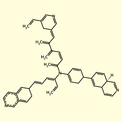 C=CC1=CN=C/C(=C/C(=C)C(=C)/C=C\C(=C)N(C2=CCC(C3=CC4C=CN=C[C@@H]4C=C3)C=C2)/C(C=C)=C/C=C/C2C=c3ccncc3=CC2)C1